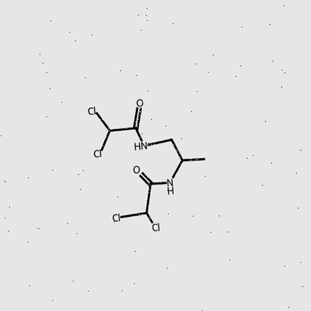 CC(CNC(=O)C(Cl)Cl)NC(=O)C(Cl)Cl